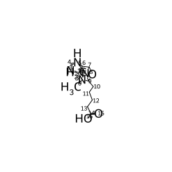 CN1c2nc[nH]c2C2OC1(CCCCC(=O)O)N2C